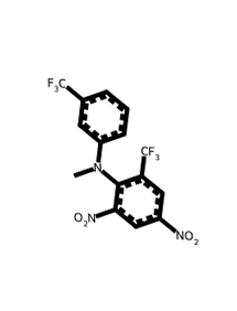 CN(c1cccc(C(F)(F)F)c1)c1c([N+](=O)[O-])cc([N+](=O)[O-])cc1C(F)(F)F